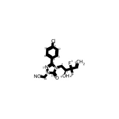 C=CC(F)(F)[C@@H](O)Cn1c(-c2ccc(Cl)cc2)nn(CC#N)c1=O